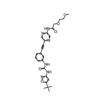 COCCOCC(=O)Nc1cnc(C#Cc2cccc(NC(=O)Nc3cc(C(C)(C)C)on3)c2)cn1